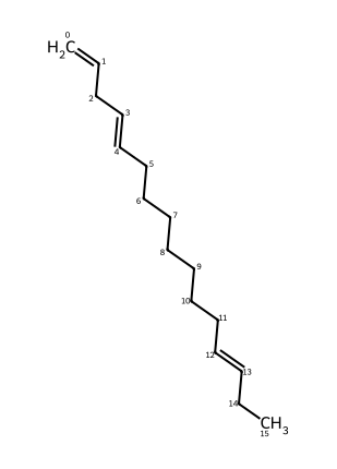 C=CCC=CCCCCCCCC=CCC